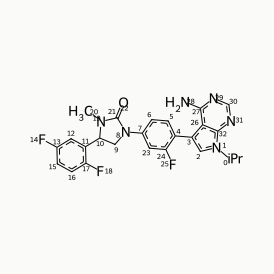 CC(C)n1cc(-c2ccc(N3CC(c4cc(F)ccc4F)N(C)C3=O)cc2F)c2c(N)ncnc21